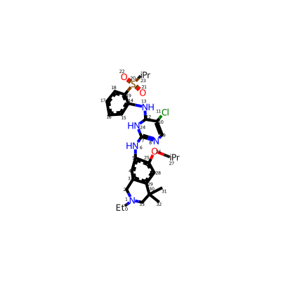 CCN1Cc2cc(NC3=NC=C(Cl)C(Nc4ccccc4S(=O)(=O)C(C)C)N3)c(OC(C)C)cc2C(C)(C)C1